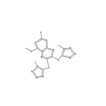 COc1cc(F)cc2nc(Sc3nnnn3C)c(Sc3nnnn3C)nc12